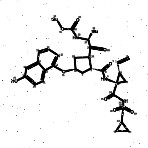 C=C[C@@H]1C[C@]1(NC(=O)[C@@H]1C[C@@H](Oc2nccc3cc(O)ccc23)CN1C(=O)[C@@H](NC(=O)OC(C)(C)C)C(C)(C)C)C(=O)NS(=O)(=O)C1CC1